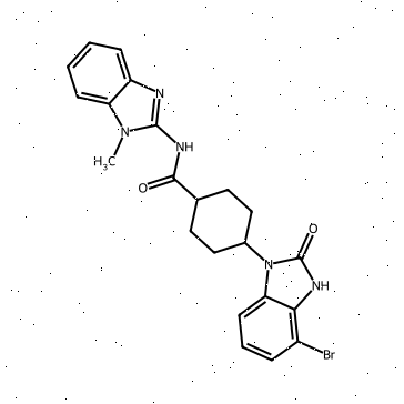 Cn1c(NC(=O)C2CCC(n3c(=O)[nH]c4c(Br)cccc43)CC2)nc2ccccc21